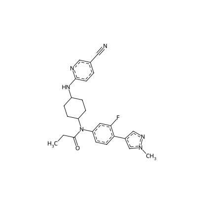 CCC(=O)N(c1ccc(-c2cnn(C)c2)c(F)c1)C1CCC(Nc2ccc(C#N)cn2)CC1